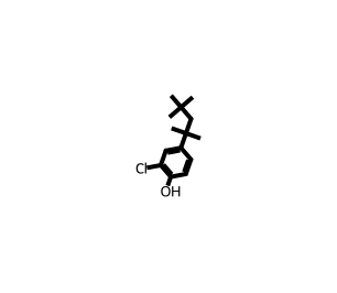 CC(C)(C)CC(C)(C)c1ccc(O)c(Cl)c1